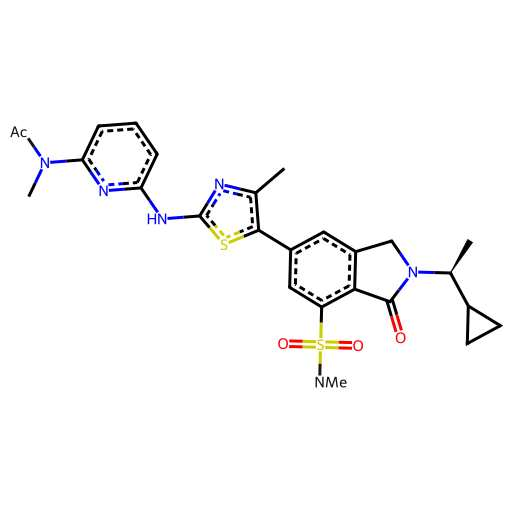 CNS(=O)(=O)c1cc(-c2sc(Nc3cccc(N(C)C(C)=O)n3)nc2C)cc2c1C(=O)N([C@@H](C)C1CC1)C2